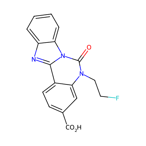 O=C(O)c1ccc2c(c1)n(CCF)c(=O)n1c3ccccc3nc21